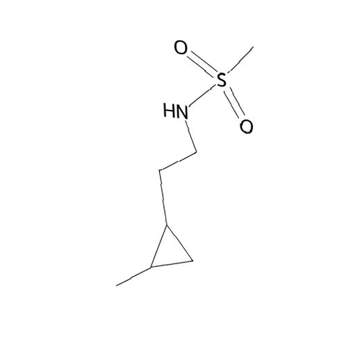 CC1CC1CCNS(C)(=O)=O